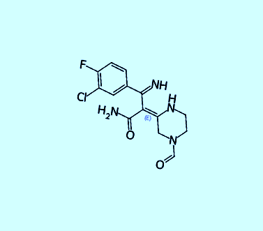 N=C(/C(C(N)=O)=C1/CN(C=O)CCN1)c1ccc(F)c(Cl)c1